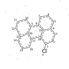 Clc1ccc2cccc3c4cccc5cccc(c1c23)c54